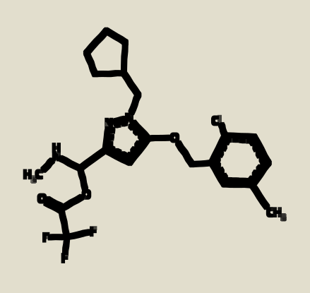 CNC(OC(=O)C(F)(F)F)c1cc(OCc2cc(C)ccc2Cl)n(CC2CCCC2)n1